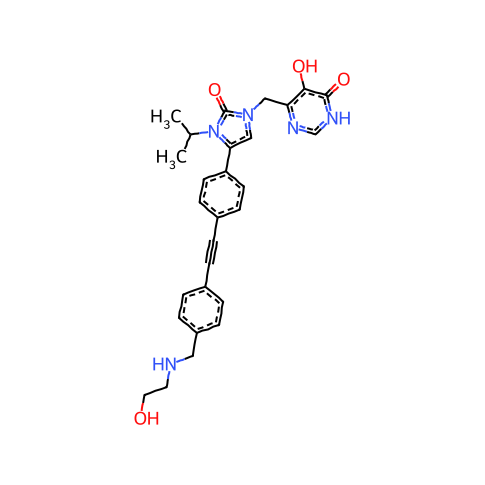 CC(C)n1c(-c2ccc(C#Cc3ccc(CNCCO)cc3)cc2)cn(Cc2nc[nH]c(=O)c2O)c1=O